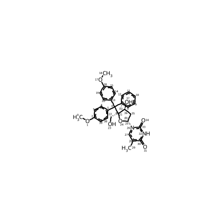 COc1ccc(C(c2ccccc2)(c2ccc(OC)cc2)[C@]2(CO)O[C@@H](n3cc(C)c(=O)[nH]c3=O)C[C@@H]2O)cc1